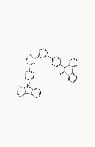 C=C1c2ccccc2-c2ccccc2C1c1ccc(-c2cccc(-c3cccc(-c4ccc(-n5c6ccccc6c6ccccc65)cc4)c3)c2)cc1